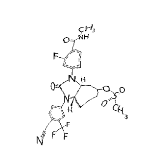 CNC(=O)c1ccc(N2C(=O)N(c3ccc(C#N)c(C(F)(F)F)c3)[C@H]3CCC(OS(C)(=O)=O)C[C@@H]32)cc1F